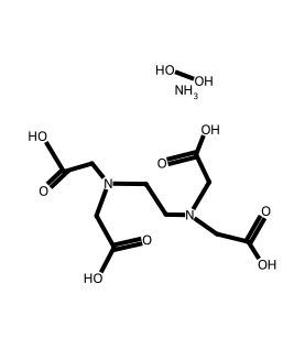 N.O=C(O)CN(CCN(CC(=O)O)CC(=O)O)CC(=O)O.OO